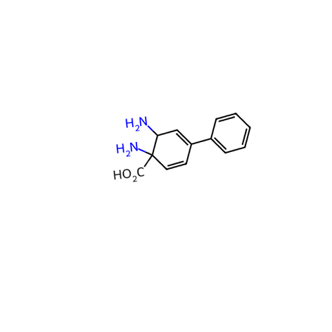 NC1C=C(c2ccccc2)C=CC1(N)C(=O)O